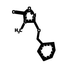 Cn1c(OCc2ccccc2)noc1=O